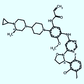 C=CC(=O)Nc1cc(Nc2cc(N3OCC[C@@H]3c3c(F)ccc(F)c3Cl)ncn2)c(OC)cc1N1CCC(N2CCN(C3CC3)[C@H](C)C2)CC1